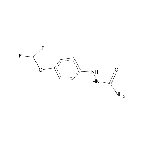 NC(=O)NNc1ccc(OC(F)F)cc1